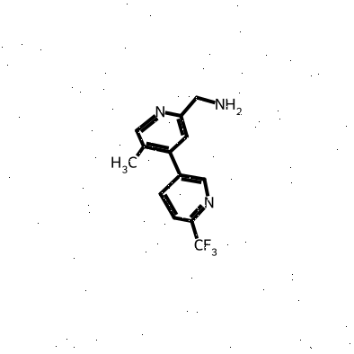 Cc1cnc(CN)cc1-c1ccc(C(F)(F)F)nc1